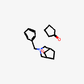 O=C1C2CCC1CN(Cc1ccccc1)C2.O=C1CCCC1